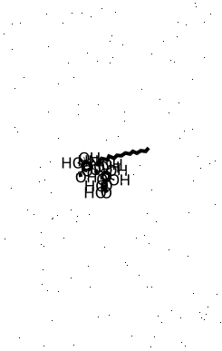 CCCCCCCCCCC[C@@H](O)CC(=O)N[C@H]1[C@H](OC[C@H]2O[C@H](OP(=O)(O)O)[C@H](O)[C@@H](O)[C@@H]2O)O[C@H](CO)[C@@H](O)[C@@H]1O